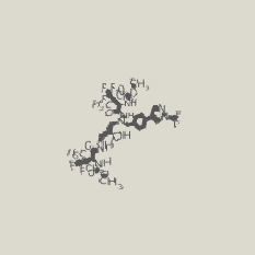 COC(=O)NC(C(=O)NC[C@@H](O)CN(Cc1ccc(-c2cnn(C(F)F)c2)cc1)NC(=O)[C@@H](NC(=O)OC)C(C)(C)C(F)(F)F)C(C)(C)C(F)(F)F